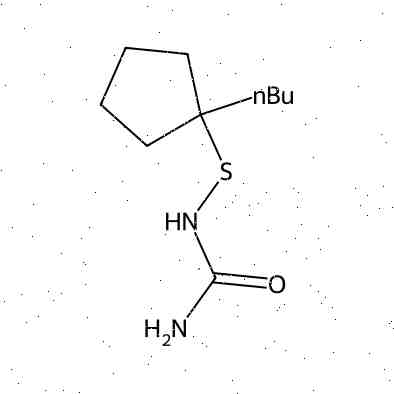 CCCCC1(SNC(N)=O)CCCC1